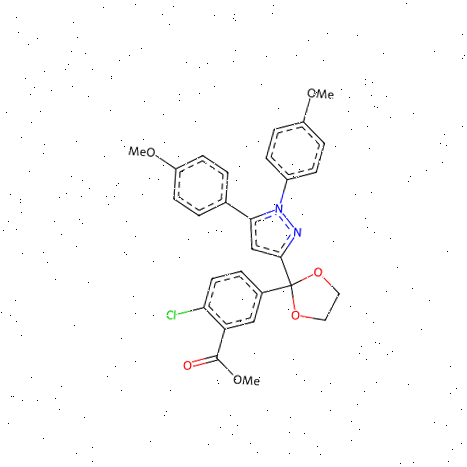 COC(=O)c1cc(C2(c3cc(-c4ccc(OC)cc4)n(-c4ccc(OC)cc4)n3)OCCO2)ccc1Cl